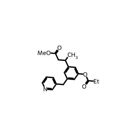 CCC(=O)Oc1cc(Cc2cccnc2)cc(C(C)CC(=O)OC)c1